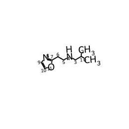 CC(C)CNCCc1ncco1